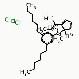 CCCCCCc1cc(CCCCCC)cc([Si](C)(C)[C]2([Ti+3])C=CC=C2C(C)CC)c1.[Cl-].[Cl-].[Cl-]